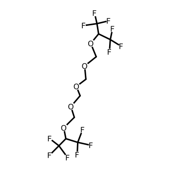 FC(F)(F)C(OCOCOCOCOC(C(F)(F)F)C(F)(F)F)C(F)(F)F